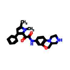 Cc1cc(-c2ccccc2)c(C(=O)C(=O)Nc2ccc3c(c2)OCC2CNCCN32)n1C